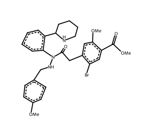 COC(=O)c1cc(Br)c(CC(=O)N(NCc2ccc(OC)cc2)c2ccccc2C2CCCCN2)cc1OC